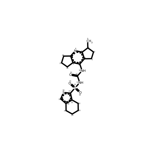 CC1CCc2c1nc1c(c2NC(=O)NS(=O)(=O)c2scc3c2CCCC3)CCC1